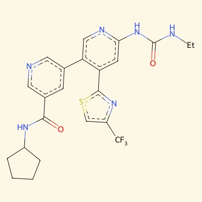 CCNC(=O)Nc1cc(-c2nc(C(F)(F)F)cs2)c(-c2cncc(C(=O)NC3CCCC3)c2)cn1